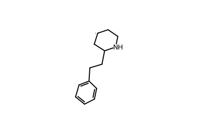 [CH]1CCNC(CCc2ccccc2)C1